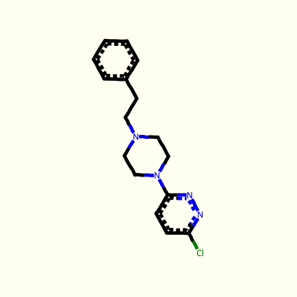 Clc1ccc(N2CCN(CCc3ccccc3)CC2)nn1